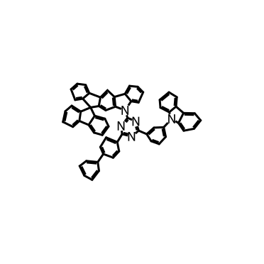 c1ccc(-c2ccc(-c3nc(-c4cccc(-n5c6ccccc6c6ccccc65)c4)nc(-n4c5ccccc5c5cc6c(cc54)C4(c5ccccc5-c5ccccc54)c4ccccc4-6)n3)cc2)cc1